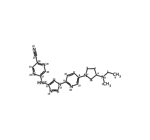 CCN(C)C1CCN(c2ccc(-n3cnc(Nc4cnc(C#N)cn4)c3)nc2)C1